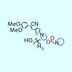 COc1ccc(/C(C#N)=C/c2ccc(N3CCC(OC(=O)CN4CCCCCC4)CC3)s2)cc1OC.CS(=O)(=O)O